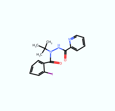 CC(C)(C)N(NC(=O)c1ccccn1)C(=O)c1ccccc1I